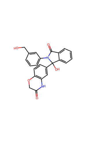 O=C1COc2ccc(C3(O)c4ccccc4C(=O)N3c3cccc(CO)c3)cc2N1